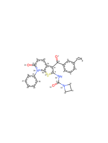 Cc1cccc(C(=O)c2c(NC(=O)N3CCC3)sc3c2ccc(=O)n3-c2ccccc2)c1